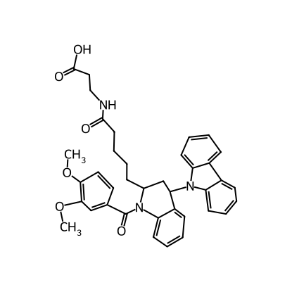 COc1ccc(C(=O)N2c3ccccc3C(n3c4ccccc4c4ccccc43)CC2CCCCC(=O)NCCC(=O)O)cc1OC